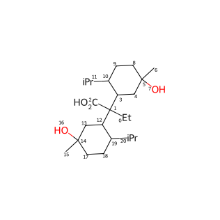 CCC(C(=O)O)(C1CC(C)(O)CCC1C(C)C)C1CC(C)(O)CCC1C(C)C